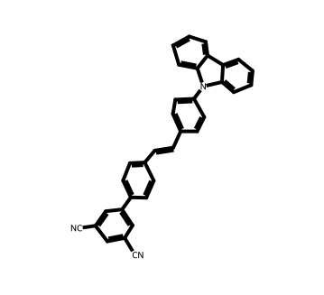 N#Cc1cc(C#N)cc(-c2ccc(C=Cc3ccc(-n4c5ccccc5c5ccccc54)cc3)cc2)c1